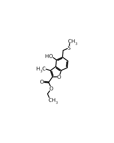 CCOC(=O)c1oc2ccc(CSC)c(O)c2c1C